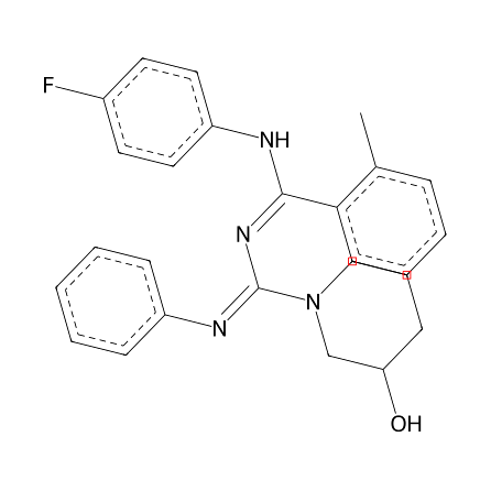 Cc1ccccc1/C(=N\C(=N/c1ccccc1)N1CCCC(O)C1)Nc1ccc(F)cc1